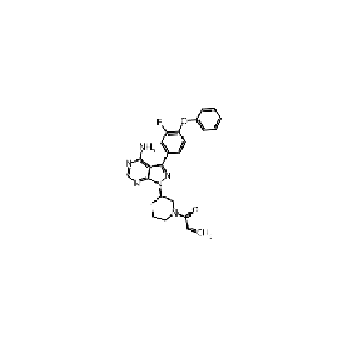 C=CC(=O)N1CCCC(n2nc(-c3ccc(Oc4ccccc4)c(F)c3)c3c(N)ncnc32)C1